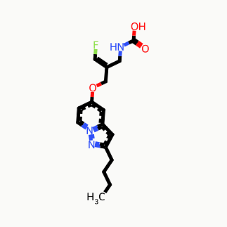 CCCCc1cc2cc(OCC(=CF)CNC(=O)O)ccn2n1